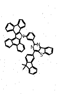 CC1(C)c2ccccc2-c2cc(-c3nc(-c4cccc(-n5c6c7ccccc7c7ccccc7c6c6c7ccccc7c7ccccc7c65)c4)nc4c3sc3ccccc34)ccc21